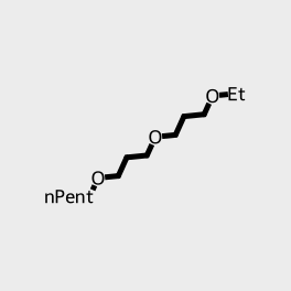 CCCCCOCCCOCCCOCC